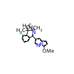 COc1ccc2cc(C3=NC(C)(C)C(C)(C)c4c(F)cccc43)cnn12